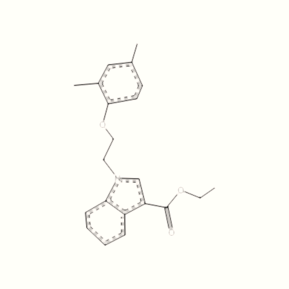 CCOC(=O)c1cn(CCOc2ccc(C)cc2C)c2ccccc12